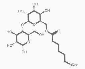 CCCCCCCCCCCCCCCC(=O)OC[C@H]1O[C@@H](O[C@H]2[C@H](O)[C@@H](O)[C@@H](O)O[C@@H]2CO)[C@H](O)[C@@H](O)[C@H]1O